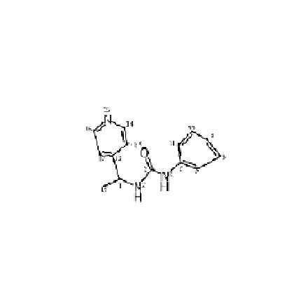 CC(NC(=O)Nc1ccccc1)c1ccncc1